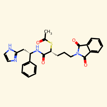 CC(=O)S[C@H](CCCN1C(=O)c2ccccc2C1=O)C(=O)N[C@@H](Cc1ncc[nH]1)c1ccccc1